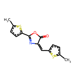 Cc1ccc(C=C2N=C(c3ccc(C)s3)OC2=O)s1